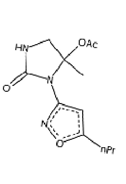 CCCc1cc(N2C(=O)NCC2(C)OC(C)=O)no1